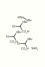 CCCCC(CC)C(=O)O.CCCCC(CC)C(=O)O.CCCCC(CC)C(=O)O.CCC[CH2][SnH].[SnH2]